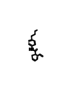 C=CC1=CC=CCC1C(=C)Nc1ccc(CCCC)cc1